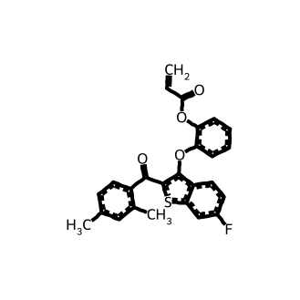 C=CC(=O)Oc1ccccc1Oc1c(C(=O)c2ccc(C)cc2C)sc2cc(F)ccc12